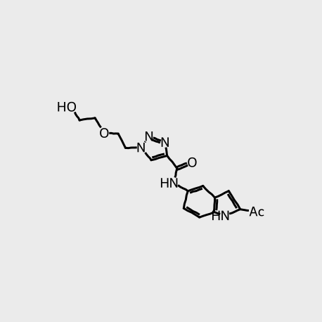 CC(=O)c1cc2cc(NC(=O)c3cn(CCOCCO)nn3)ccc2[nH]1